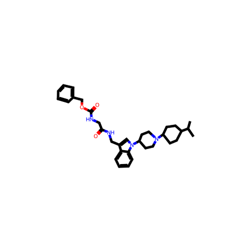 CC(C)C1CCC(N2CCC(n3cc(CNC(=O)CNC(=O)OCc4ccccc4)c4ccccc43)CC2)CC1